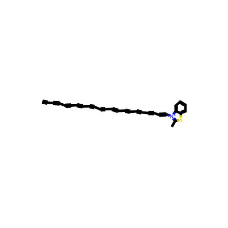 C#CC#CC#CC#CC#CC#CC#CC#CC#CC#CC#C[n+]1c(C)sc2ccccc21